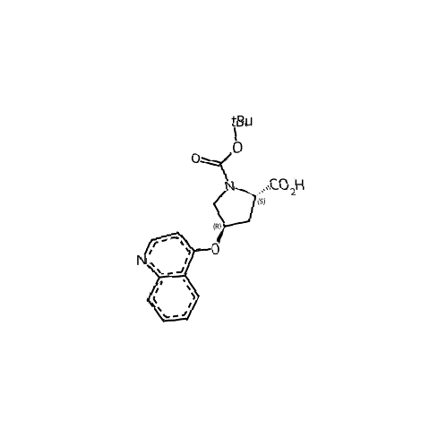 CC(C)(C)OC(=O)N1C[C@H](Oc2ccnc3ccccc23)C[C@H]1C(=O)O